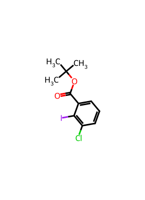 CC(C)(C)OC(=O)c1cccc(Cl)c1I